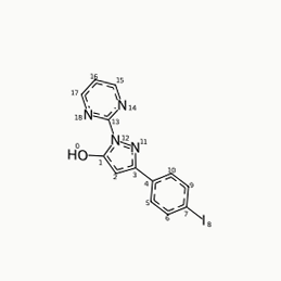 Oc1cc(-c2ccc(I)cc2)nn1-c1ncccn1